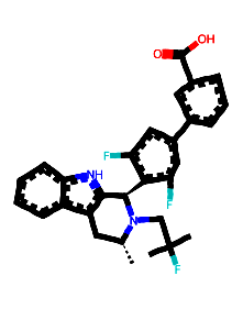 C[C@@H]1Cc2c([nH]c3ccccc23)[C@@H](c2c(F)cc(-c3cccc(C(=O)O)c3)cc2F)N1CC(C)(C)F